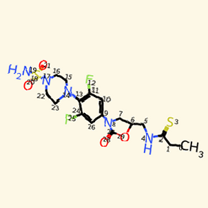 CCC(=S)NCC1CN(c2cc(F)c(N3CCN(S(N)(=O)=O)CC3)c(F)c2)C(=O)O1